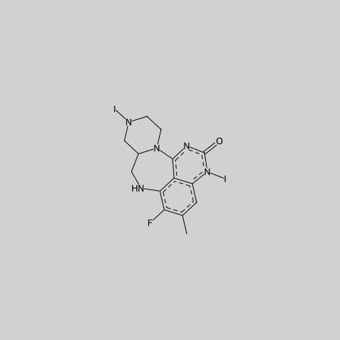 Cc1cc2c3c(nc(=O)n2I)N2CCN(I)CC2CNc3c1F